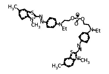 CCN(CCOS(=O)(=O)OCCN(CC)c1ccc(/N=N/c2sc3cc(C)ccc3[n+]2C)cc1)c1ccc(/N=N/c2sc3cc(C)ccc3[n+]2C)cc1